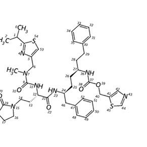 CC(C)c1nc(CN(C)C(=O)N[C@@H](CCN2CCCC2=O)C(=O)N[C@@H](CC[C@@H](CCc2ccccc2)NC(=O)OCc2cncs2)Cc2ccccc2)cs1